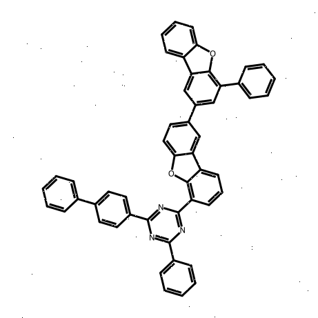 c1ccc(-c2ccc(-c3nc(-c4ccccc4)nc(-c4cccc5c4oc4ccc(-c6cc(-c7ccccc7)c7oc8ccccc8c7c6)cc45)n3)cc2)cc1